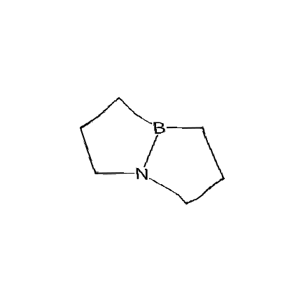 C1CB2CCCN2C1